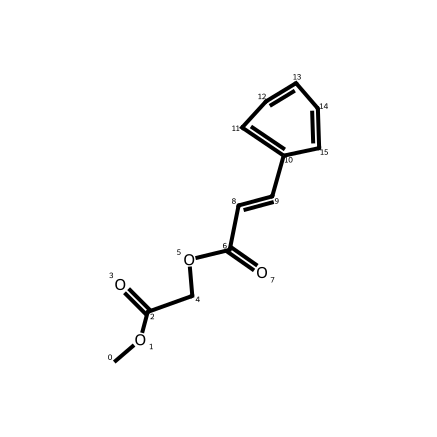 COC(=O)COC(=O)C=Cc1ccccc1